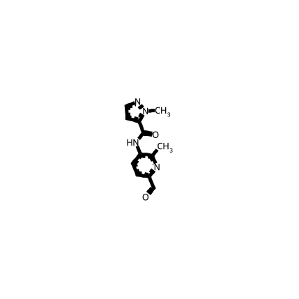 Cc1nc(C=O)ccc1NC(=O)c1ccnn1C